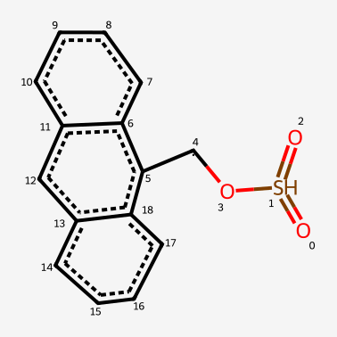 O=[SH](=O)O[CH]c1c2ccccc2cc2ccccc12